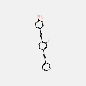 Bc1ccc(C#Cc2ccc(C#Cc3ccccc3)cc2F)cc1